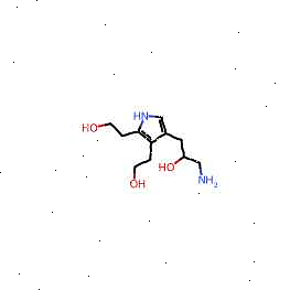 NCC(O)Cc1c[nH]c(CCO)c1CCO